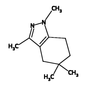 Cc1nn(C)c2c1CC(C)(C)CC2